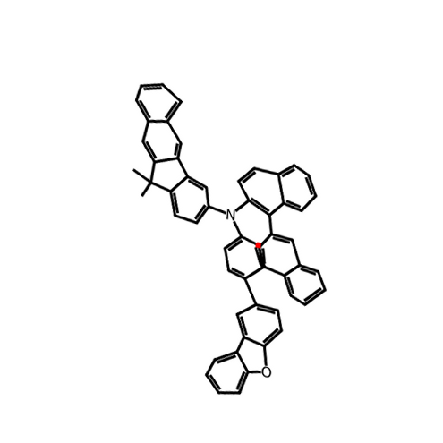 CC1(C)c2ccc(N(c3ccc(-c4ccc5oc6ccccc6c5c4)cc3)c3ccc4ccccc4c3-c3ccc4ccccc4c3)cc2-c2cc3ccccc3cc21